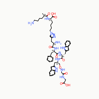 C[C@H](CCCCN)C(=O)N[C@H](CCCCn1cc(C[C@@H](N)C(=O)N[C@H](Cc2ccccc2)C(=O)N[C@H](Cc2cc3ccccc3[nH]2)C(=O)N[C@@H](CONCC(=O)NCC(=O)O)Cc2cc3ccccc3[nH]2)nn1)C(=O)O